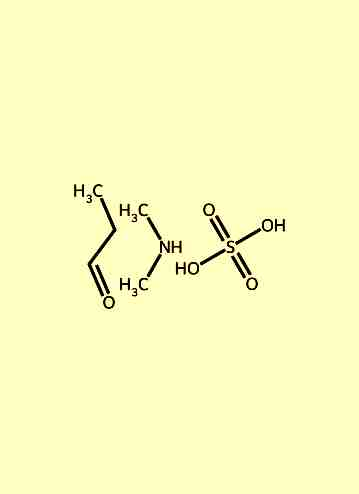 CCC=O.CNC.O=S(=O)(O)O